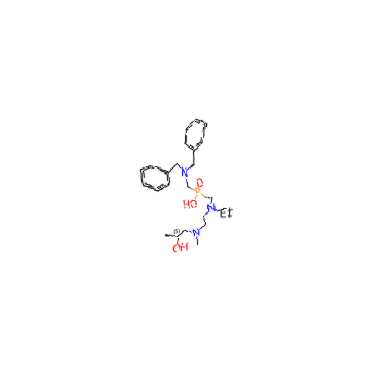 CCN(CCN(C)C[C@H](C)O)CP(=O)(O)CN(Cc1ccccc1)Cc1ccccc1